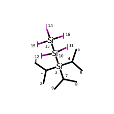 CC(C)[Si](C(C)C)(C(C)C)[Si](I)(I)[Si](I)(I)I